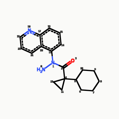 NN(C(=O)C1(C2CCCCC2)CC1)c1cccc2ncccc12